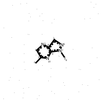 Cc1cnc2cnn(I)c2n1